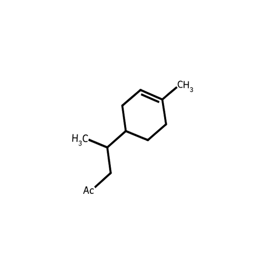 CC(=O)CC(C)C1CC=C(C)CC1